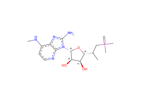 C=P(C)(C)CC(C)[C@H]1O[C@@H](n2c(N)nc3c(NC)ccnc32)[C@H](O)[C@@H]1O